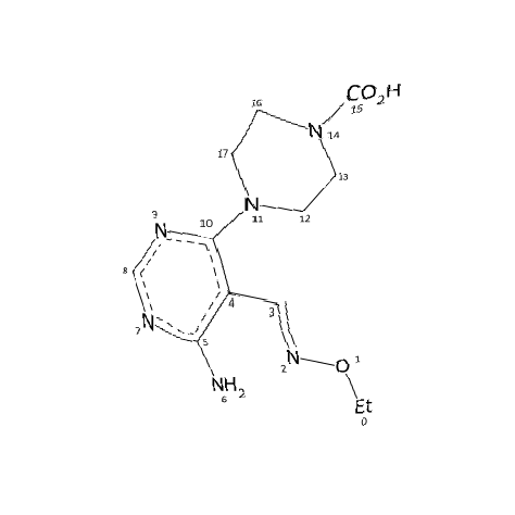 CCON=Cc1c(N)ncnc1N1CCN(C(=O)O)CC1